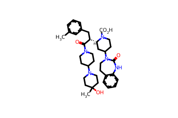 Cc1cccc(CC(C(=O)N2CCC(N3CCC(C)(O)CC3)CC2)[C@H]2CC(N3CCc4ccccc4NC3=O)CCN2C(=O)O)c1